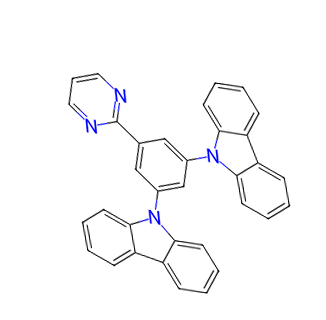 c1cnc(-c2cc(-n3c4ccccc4c4ccccc43)cc(-n3c4ccccc4c4ccccc43)c2)nc1